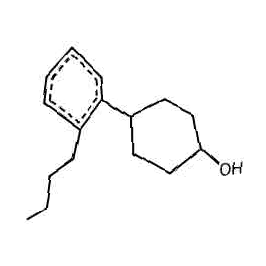 CCCCc1ccccc1C1CCC(O)CC1